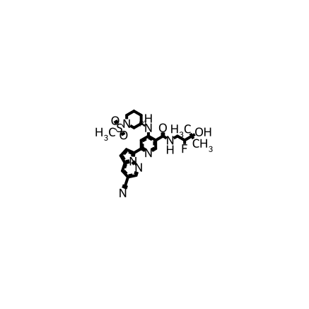 CC(C)(O)C(F)CNC(=O)c1cnc(-c2ccc3cc(C#N)cnn23)cc1N[C@@H]1CCCN(S(C)(=O)=O)C1